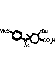 CSc1ccc(N(C(C)=O)C2(C)CCN(C(=O)O)C(C(C)(C)C)C2)cc1